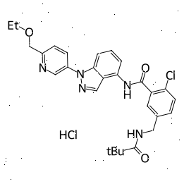 CCOCc1ccc(-n2ncc3c(NC(=O)c4cc(CNC(=O)C(C)(C)C)ccc4Cl)cccc32)cn1.Cl